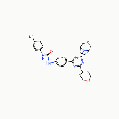 N#Cc1ccc(NC(=O)Nc2ccc(-c3nc(C4CCOCC4)nc(N4C5CCC4COC5)n3)cc2)cc1